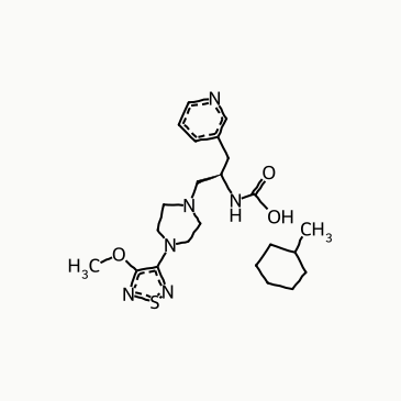 CC1CCCCC1.COc1nsnc1N1CCN(C[C@@H](Cc2cccnc2)NC(=O)O)CC1